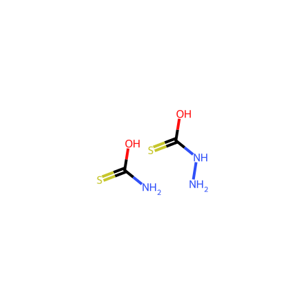 NC(O)=S.NNC(O)=S